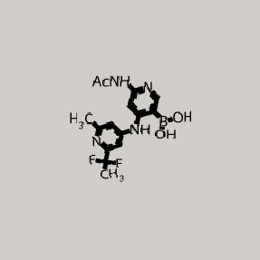 CC(=O)Nc1cc(Nc2cc(C)nc(C(C)(F)F)c2)c(B(O)O)cn1